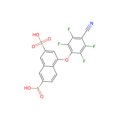 N#Cc1c(F)c(F)c(Oc2cc(S(=O)(=O)O)cc3cc(S(=O)O)ccc23)c(F)c1F